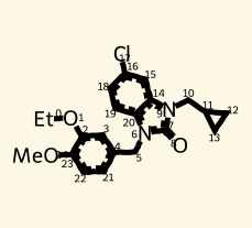 CCOc1cc(Cn2c(=O)n(CC3CC3)c3cc(Cl)ccc32)ccc1OC